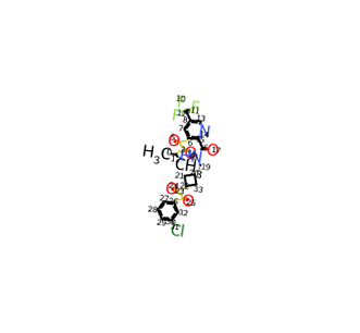 CC(C)S(=O)(=O)c1cc(C(F)(F)F)cnc1C(=O)NC[C@H]1C[C@H](S(=O)(=O)c2cccc(Cl)c2)C1